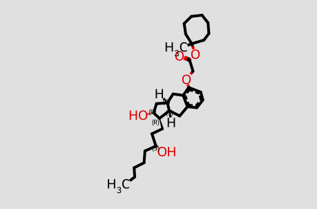 CCCCC[C@H](O)CC[C@@H]1[C@H]2Cc3cccc(OCC(=O)OC4(C)CCCCCCC4)c3C[C@H]2C[C@H]1O